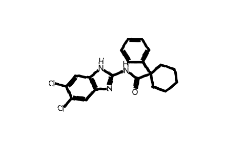 O=C(Nc1nc2cc(Cl)c(Cl)cc2[nH]1)C1(c2ccccc2)CCCCC1